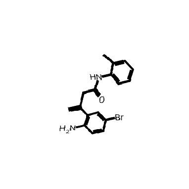 C=C(CC(=O)Nc1ccccc1C)c1cc(Br)ccc1N